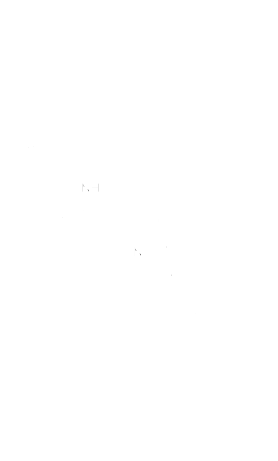 O=C(Nc1ccccc1)C1CCC(C2CCCCC2)N(S(=O)(=O)c2ccccc2)C1